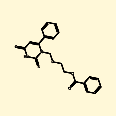 O=C(OCCOCn1c(-c2ccccc2)cc(=O)[nH]c1=S)c1ccccc1